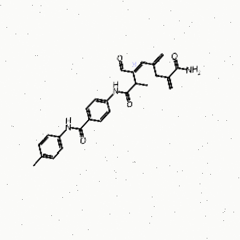 C=C(/C=C(/C=O)C(C)C(=O)Nc1ccc(C(=O)Nc2ccc(C)cc2)cc1)CC(=C)C(N)=O